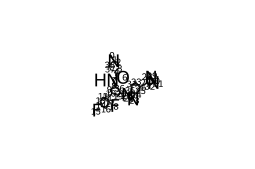 CN1CCC(C(=O)Nc2cc(-c3ccc(F)cc3F)cc(-n3cnc4cc(-c5cnn(C)c5)ccc43)c2)CC1